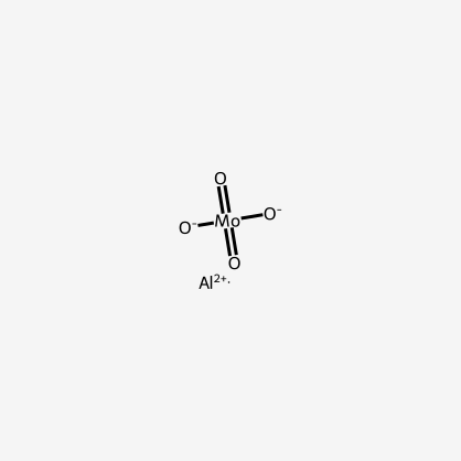 [Al+2].[O]=[Mo](=[O])([O-])[O-]